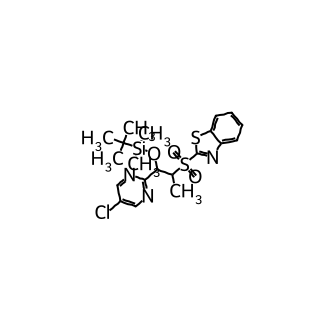 CC(C(O[Si](C)(C)C(C)(C)C)c1ncc(Cl)cn1)S(=O)(=O)c1nc2ccccc2s1